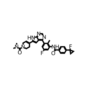 Cc1c(NC(=O)c2ccc(C3(F)CC3)cc2)cc(F)cc1-c1ncnc2[nH]c(C3=CCN(C(=O)N(C)C)CC3)cc12